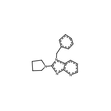 [c]1cnc2nc(N3CCCC3)n(Cc3ccccc3)c2c1